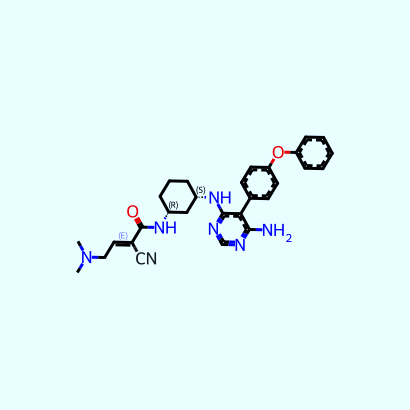 CN(C)C/C=C(\C#N)C(=O)N[C@@H]1CCC[C@H](Nc2ncnc(N)c2-c2ccc(Oc3ccccc3)cc2)C1